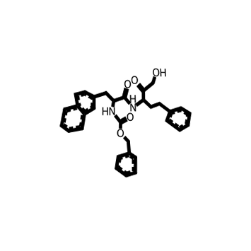 O=C(NC(Cc1ccc2ccccc2c1)C(=O)NC(CCc1ccccc1)C(=O)CO)OCc1ccccc1